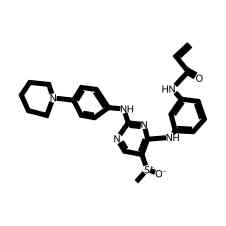 C=CC(=O)Nc1cccc(Nc2nc(Nc3ccc(N4CCCCC4)cc3)ncc2[S+](C)[O-])c1